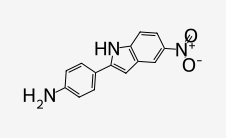 Nc1ccc(-c2cc3cc([N+](=O)[O-])ccc3[nH]2)cc1